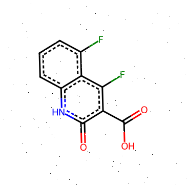 O=C(O)c1c(F)c2c(F)cccc2[nH]c1=O